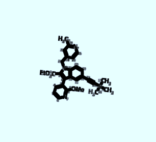 CCOC(=O)c1c(-c2cccnc2OC)c2cc(C#C[Si](C)(C)C)ccc2n1Cc1ccnc(C)c1